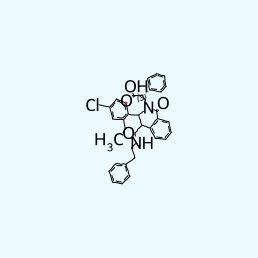 CCc1cc(Cl)ccc1C1C(C(=O)NCCc2ccccc2)c2ccccc2C(=O)N1[C@H](C(=O)O)c1ccccc1